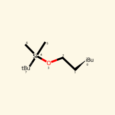 CC[C@H](C)CCO[Si](C)(C)C(C)(C)C